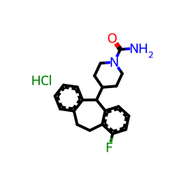 Cl.NC(=O)N1CCC(C2c3ccccc3CCc3c(F)cccc32)CC1